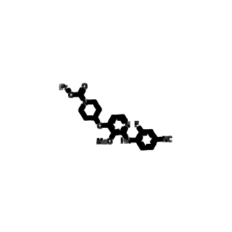 [C-]#[N+]c1ccc(Nc2nccc(OC3CCN(C(=O)OC(C)C)CC3)c2OC)c(F)c1